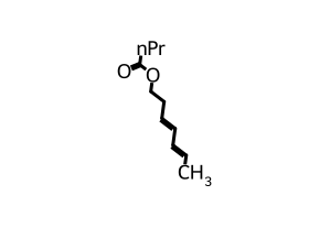 CC=CC=CCCOC(=O)CCC